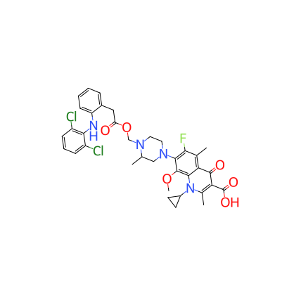 COc1c(N2CCN(COC(=O)Cc3ccccc3Nc3c(Cl)cccc3Cl)C(C)C2)c(F)c(C)c2c(=O)c(C(=O)O)c(C)n(C3CC3)c12